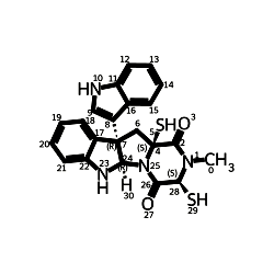 CN1C(=O)[C@@]2(S)C[C@]3(c4c[nH]c5ccccc45)c4ccccc4N[C@@H]3N2C(=O)[C@@H]1S